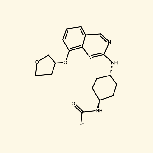 CCC(=O)N[C@H]1CC[C@H](Nc2ncc3cccc(OC4CCOC4)c3n2)CC1